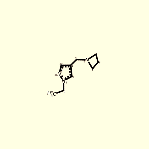 CCn1cc(CN2CCC2)cn1